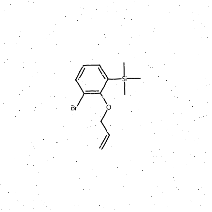 C=CCOc1c(Br)cccc1[Si](C)(C)C